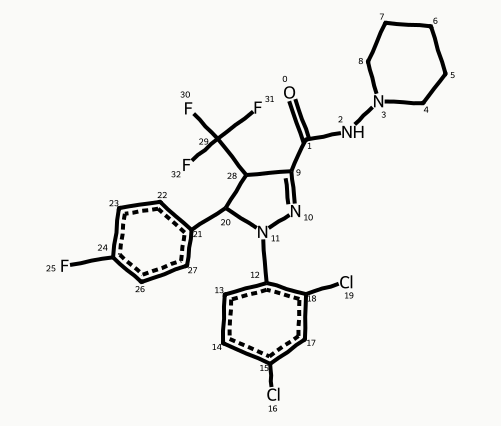 O=C(NN1CCCCC1)C1=NN(c2ccc(Cl)cc2Cl)C(c2ccc(F)cc2)C1C(F)(F)F